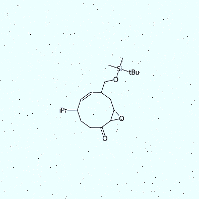 CC(C)C1C=CC(CO[Si](C)(C)C(C)(C)C)CC2OC2C(=O)CC1